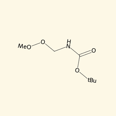 COOCNC(=O)OC(C)(C)C